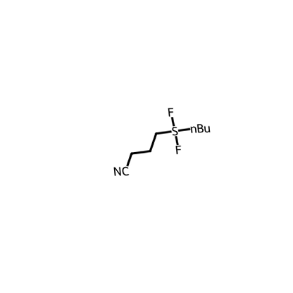 CCCCS(F)(F)CCCC#N